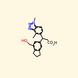 Cc1c(C(CC(=O)O)c2cc(CO)c3c(c2)CCC3)ccc2c1nnn2C